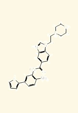 Nc1ccc(-c2cccs2)cc1NC(=O)c1ccc2c(c1)ncn2CCN1CCOCC1